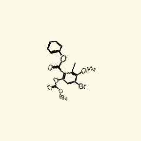 COc1c(Br)cc(OC(=O)OC(C)(C)C)c(C(=O)Oc2ccccc2)c1C